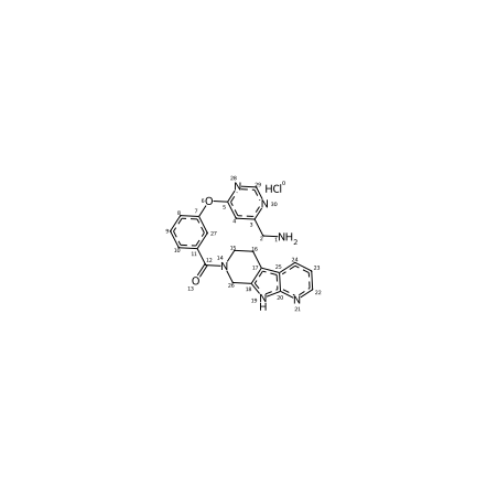 Cl.NCc1cc(Oc2cccc(C(=O)N3CCc4c([nH]c5ncccc45)C3)c2)ncn1